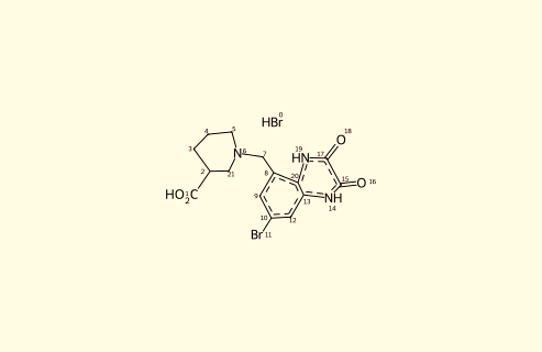 Br.O=C(O)C1CCCN(Cc2cc(Br)cc3[nH]c(=O)c(=O)[nH]c23)C1